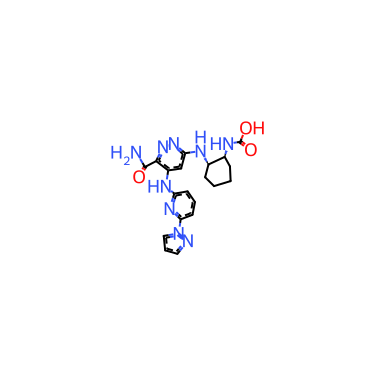 NC(=O)c1nnc(N[C@@H]2CCCC[C@@H]2NC(=O)O)cc1Nc1cccc(-n2cccn2)n1